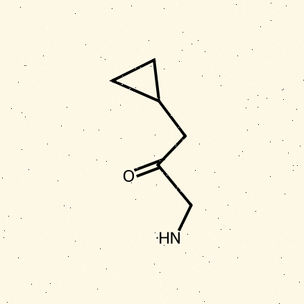 [NH]CC(=O)CC1CC1